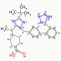 CC(c1nc(C(C)(C)C)nn1Cc1ccc(-c2ccccc2-c2nnn[nH]2)cc1)C1CCC(C(=O)O)CC1